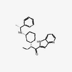 CCN(C(=O)c1cc2ncccc2[nH]1)[C@H]1CCC[C@@H](N[C@H](C)c2ccccc2)C1